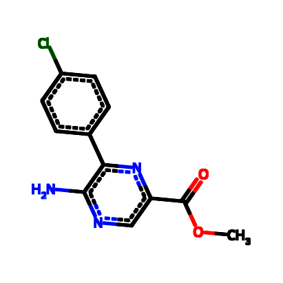 COC(=O)c1cnc(N)c(-c2ccc(Cl)cc2)n1